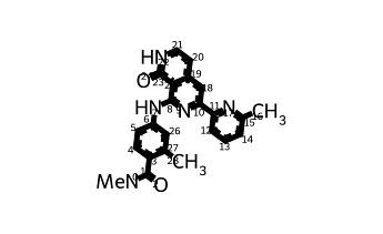 CNC(=O)c1ccc(Nc2nc(-c3cccc(C)n3)cc3cc[nH]c(=O)c23)cc1C